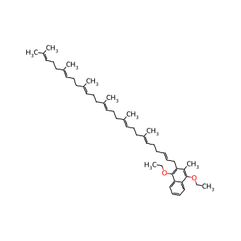 CCOc1c(C)c(C/C=C/CC/C=C(\C)CC/C=C(\C)CC/C=C(\C)CC/C=C(\C)CC/C=C(\C)CCC=C(C)C)c(OCC)c2ccccc12